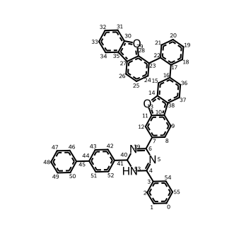 c1ccc(C2=NC(c3ccc4c(c3)oc3cc(-c5ccccc5-c5cccc6c5oc5ccccc56)ccc34)=NC(c3ccc(-c4ccccc4)cc3)N2)cc1